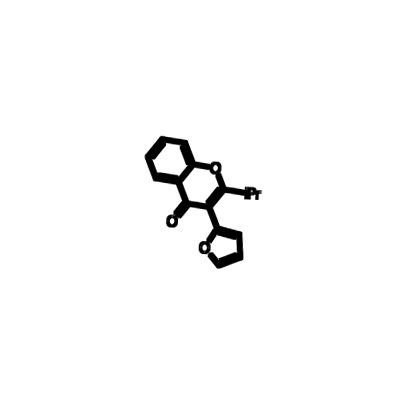 CC(C)c1oc2ccccc2c(=O)c1-c1ccco1